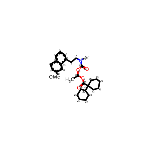 COc1ccc2cccc(CCN(C(C)=O)C(=O)OC(C)OC(=O)C3(C4CCCCC4)CCCCC3)c2c1